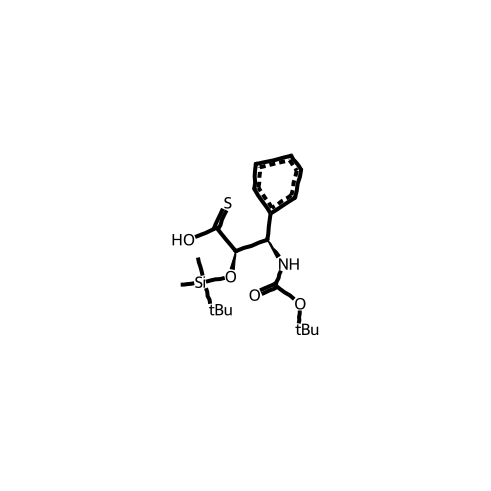 CC(C)(C)OC(=O)N[C@H](c1ccccc1)[C@@H](O[Si](C)(C)C(C)(C)C)C(O)=S